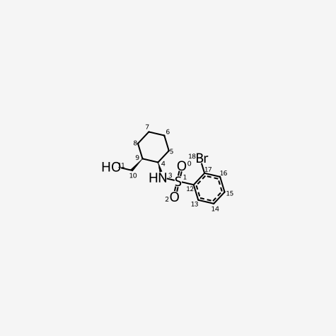 O=S(=O)(N[C@@H]1CCCC[C@@H]1CO)c1ccccc1Br